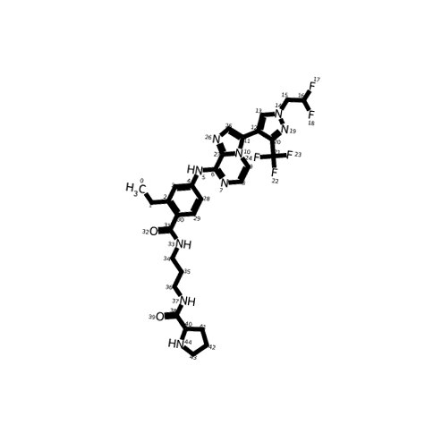 CCc1cc(Nc2nccn3c(-c4cn(CC(F)F)nc4C(F)(F)F)cnc23)ccc1C(=O)NCCCNC(=O)C1CCCN1